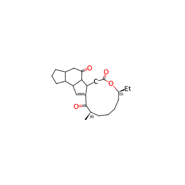 CC[C@H]1CCCC[C@@H](C)C(=O)C2=CC3C4CCCC4CC(=O)C3C2CC(=O)O1